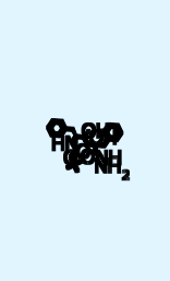 CC(C)(C)OC(=O)N[C@@H](Cc1ccccc1)[C@@H](O)C[C@@](O)(Cc1ccccc1)C(=O)NN